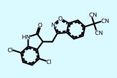 N#CC(C#N)(C#N)c1ccc2c(CC3C(=O)Nc4c(Cl)ccc(Cl)c43)noc2c1